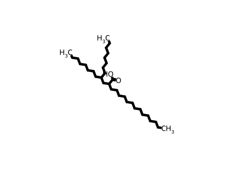 CCCCCCCCCCCCCCC(CC(CCCCCCCC)CCCCCCCC)C(=O)O